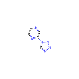 [c]1nnnn1-c1cnccn1